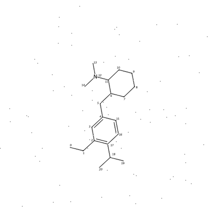 CCc1cc(CC2CCCCC2N(C)C)ccc1C(C)C